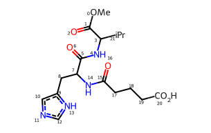 COC(=O)C(NC(=O)C(Cc1cnc[nH]1)NC(=O)CCCC(=O)O)C(C)C